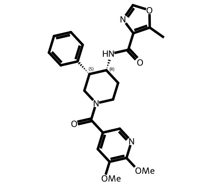 COc1cc(C(=O)N2CC[C@@H](NC(=O)c3ncoc3C)[C@@H](c3ccccc3)C2)cnc1OC